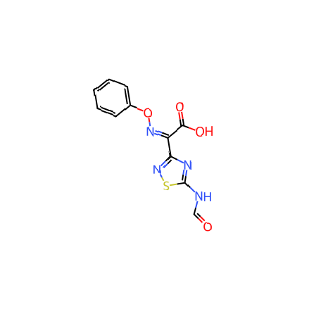 O=CNc1nc(C(=NOc2ccccc2)C(=O)O)ns1